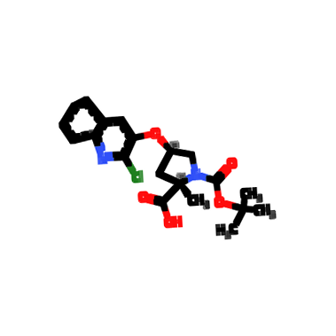 CC(C)(C)OC(=O)N1C[C@H](Oc2cc3ccccc3nc2Cl)C[C@@]1(C)C(=O)O